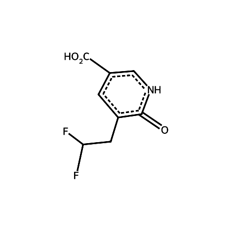 O=C(O)c1c[nH]c(=O)c(CC(F)F)c1